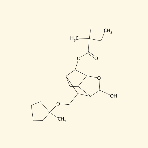 CCC(C)(I)C(=O)OC1C2CC3C1OC(O)C3C2COC1(C)CCCC1